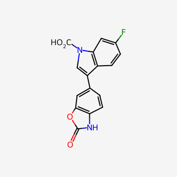 O=C(O)n1cc(-c2ccc3[nH]c(=O)oc3c2)c2ccc(F)cc21